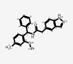 Cc1ccc(C(NC(=O)Cc2ccc3[nH]ncc3c2)c2ccccc2)c(OC(C)C)c1